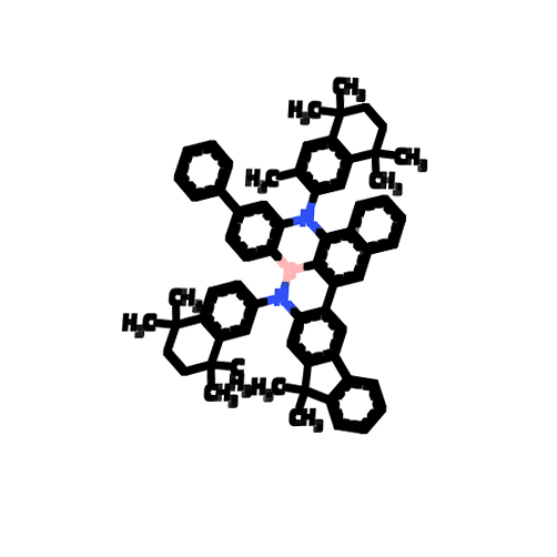 Cc1cc2c(cc1N1c3cc(-c4ccccc4)ccc3B3c4c(cc5ccccc5c41)-c1cc4c(cc1N3c1ccc3c(c1)C(C)(C)CCC3(C)C)C(C)(C)c1ccccc1-4)C(C)(C)CCC2(C)C